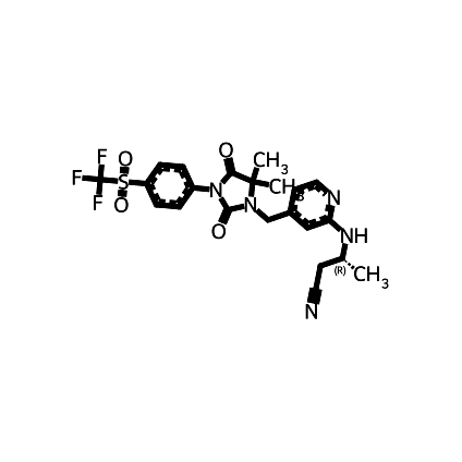 C[C@H](CC#N)Nc1cc(CN2C(=O)N(c3ccc(S(=O)(=O)C(F)(F)F)cc3)C(=O)C2(C)C)ccn1